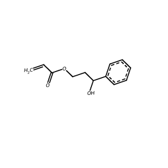 C=CC(=O)OCCC(O)c1ccccc1